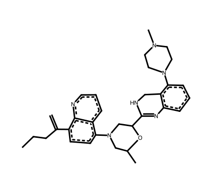 C=C(CCC)c1ccc(N2CC(C)OC(C3=Nc4cccc(N5CCN(C)CC5)c4CN3)C2)c2cccnc12